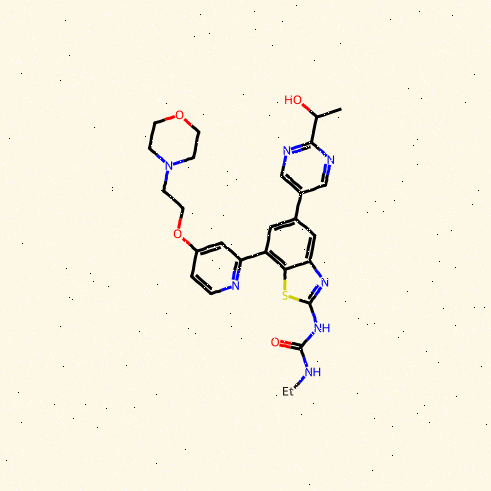 CCNC(=O)Nc1nc2cc(-c3cnc(C(C)O)nc3)cc(-c3cc(OCCN4CCOCC4)ccn3)c2s1